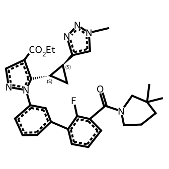 CCOC(=O)c1cnn(-c2cccc(-c3cccc(C(=O)N4CCCC(C)(C)C4)c3F)c2)c1[C@H]1C[C@@H]1c1cn(C)nn1